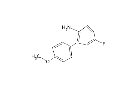 COc1ccc(-c2cc(F)ccc2N)cc1